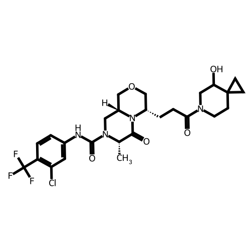 C[C@H]1C(=O)N2[C@@H](CCC(=O)N3CCC4(CC4)C(O)C3)COC[C@H]2CN1C(=O)Nc1ccc(C(F)(F)F)c(Cl)c1